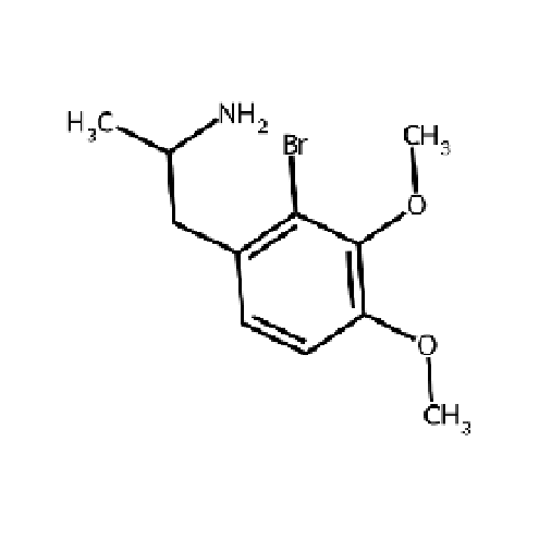 COc1ccc(CC(C)N)c(Br)c1OC